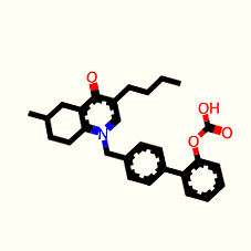 CCCCc1cn(Cc2ccc(-c3ccccc3OC(=O)O)cc2)c2c(c1=O)CC(C)CC2